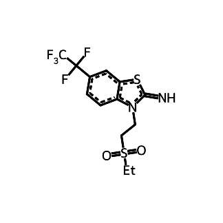 CCS(=O)(=O)CCn1c(=N)sc2cc(C(F)(F)C(F)(F)F)ccc21